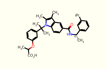 Cc1c(C)n(C(C)(C)c2cccc(OC(C)C(=O)O)c2)c2ccc(C(=O)N[C@@H](C)c3cccc(C(C)C)c3)cc12